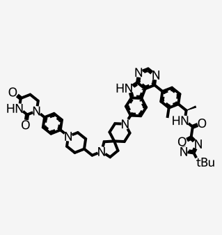 Cc1cc(-c2ncnc3[nH]c4cc(N5CCC6(CCN(CC7CCN(c8ccc(N9CCC(=O)NC9=O)cc8)CC7)C6)CC5)ccc4c23)ccc1[C@@H](C)NC(=O)c1nc(C(C)(C)C)no1